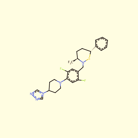 Fc1cc(N2CCC(n3cnnc3)CC2)c(F)cc1CN1S[C@@H](c2ccccc2)CC[C@@H]1C(F)(F)F